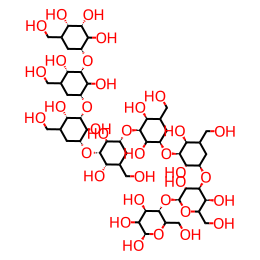 OCC1O[C@@H](O)C(O)[C@@H](O)[C@@H]1O[C@@H]1OC(CO)[C@H](O)[C@H](O[C@@H]2CC(CO)[C@H](O)[C@H](O[C@@H]3CC(CO)[C@H](O)[C@H](O[C@@H]4CC(CO)[C@H](O)[C@H](O[C@@H]5CC(CO)[C@H](O)[C@H](O[C@@H]6CC(CO)[C@H](O)[C@H](O[C@@H]7CC(CO)[C@H](O)[C@H](O)C7O)C6O)C5O)C4O)C3O)C2O)C1O